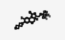 CC(C)(C)[Si](C)(C)OC[C@@H]1OC(=O)N2c3cc(F)c(N4CC5(COC5)C4)cc3OC[C@@H]12